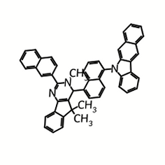 CN1C(c2ccc3ccccc3c2)=NC2=C(C1c1cccc3c(-n4c5ccccc5c5cc6ccccc6cc54)cccc13)C(C)(C)c1ccccc12